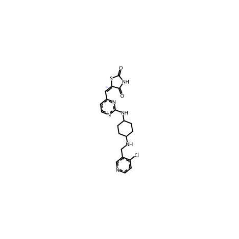 O=C1NC(=O)/C(=C\c2ccnc(NC3CCC(NCc4cnccc4Cl)CC3)n2)S1